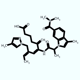 C=C(CCCC(=O)O)/C(=C\C(=C/C)Cn1cc(C)cn1)NC(=O)C(C)n1cc(C)c2ccc(C(=O)N(C)C)cc21